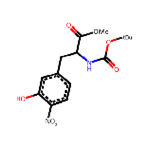 COC(=O)C(Cc1ccc([N+](=O)[O-])c(O)c1)NC(=O)OC(C)(C)C